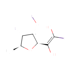 B[C@@H]1O[C@H](/C(O)=C(\O)I)[C@@H](OI)[C@H]1I